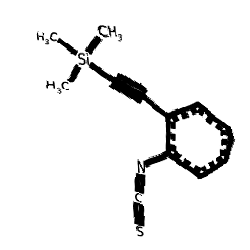 C[Si](C)(C)C#Cc1ccccc1N=C=S